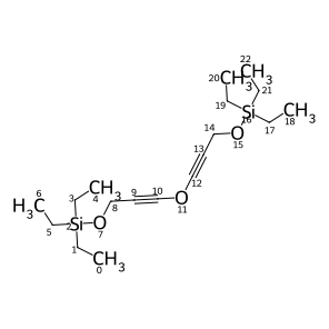 CC[Si](CC)(CC)OCC#COC#CCO[Si](CC)(CC)CC